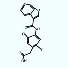 O=C(O)Cc1cc(Cl)c(NC(=O)c2coc3ccccc23)cc1F